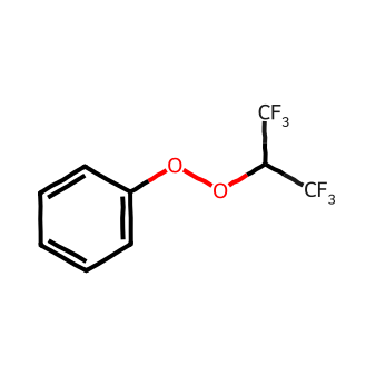 FC(F)(F)C(OOc1ccccc1)C(F)(F)F